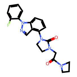 O=C(CN1CCN(c2cccc3c2cnn3-c2ccccc2F)C1=O)N1CCC1